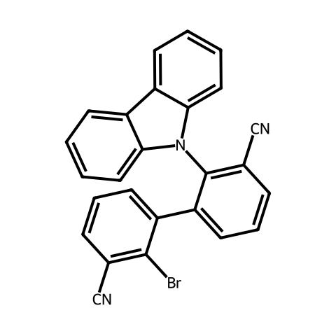 N#Cc1cccc(-c2cccc(C#N)c2-n2c3ccccc3c3ccccc32)c1Br